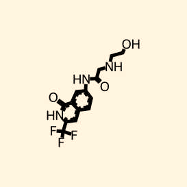 O=C(CNCCO)Nc1ccc2cc(C(F)(F)F)[nH]c(=O)c2c1